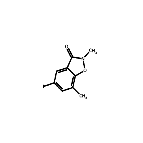 Cc1cc(I)cc2c(=O)n(C)oc12